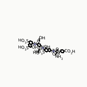 NC(=O)C1=NN(c2ccc(C(=O)O)cc2)C(=O)C1/N=N/c1ccc2c(O)c(/N=N/c3cc(OCCO)c(/N=N/c4ccc(S(=O)(=O)O)c5cc(S(=O)(=O)O)cc(O)c45)cc3OCCO)c(S(=O)(=O)O)cc2c1